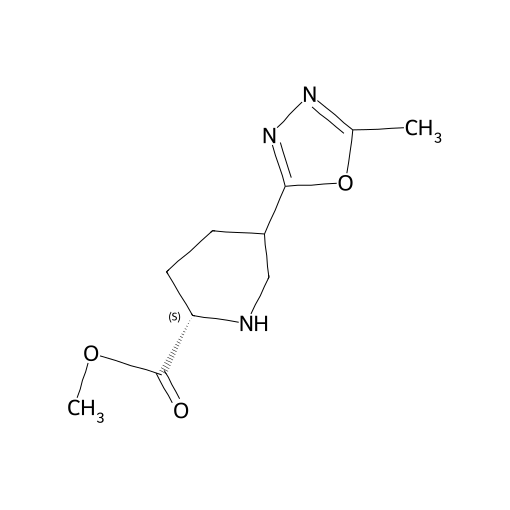 COC(=O)[C@@H]1CCC(c2nnc(C)o2)CN1